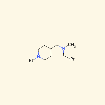 CCN1CCC(CN(C)CC(C)C)CC1